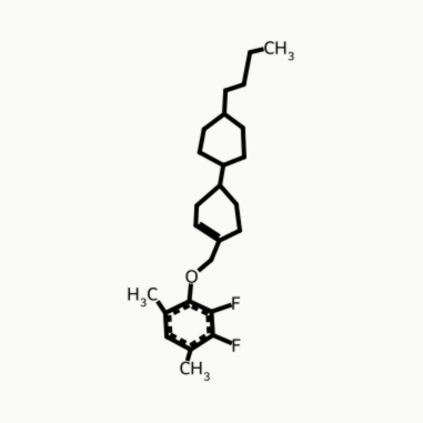 CCCCC1CCC(C2CC=C(COc3c(C)cc(C)c(F)c3F)CC2)CC1